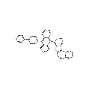 c1ccc(-c2ccc(-c3c4ccccc4c(-c4cccc5c4sc4ccc6ccccc6c45)c4ccccc34)cc2)cc1